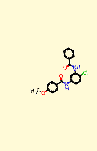 COc1ccc(C(=O)Nc2ccc(Cl)c(NC(=O)c3ccccc3)c2)cc1